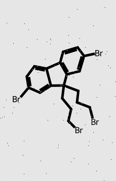 BrCCCC1(CCCBr)c2cc(Br)ccc2-c2ccc(Br)cc21